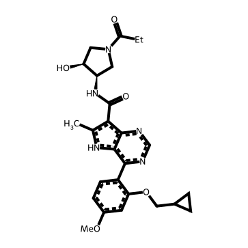 CCC(=O)N1C[C@H](O)[C@H](NC(=O)c2c(C)[nH]c3c(-c4ccc(OC)cc4OCC4CC4)ncnc23)C1